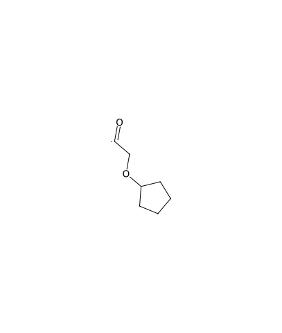 O=[C]COC1CCCC1